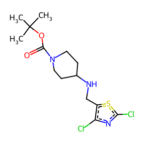 CC(C)(C)OC(=O)N1CCC(NCc2sc(Cl)nc2Cl)CC1